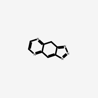 C1=C2N=NN=C2Cc2nccnc21